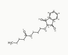 CCCCC(=O)OCCCON1C(=O)c2ccccc2C1=O